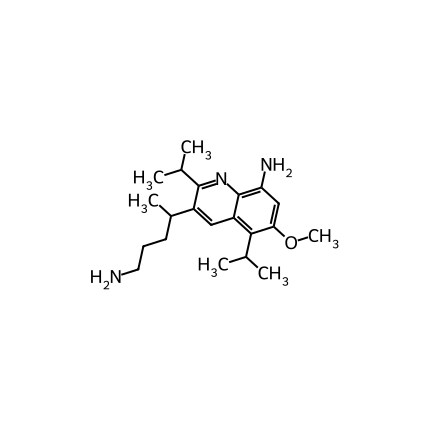 COc1cc(N)c2nc(C(C)C)c(C(C)CCCN)cc2c1C(C)C